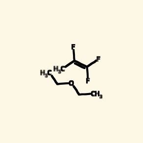 CC(F)=C(F)F.CCOCC